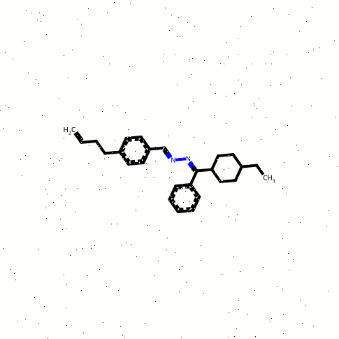 C=CCCc1ccc(C=NN=C(c2ccccc2)C2CCC(CC)CC2)cc1